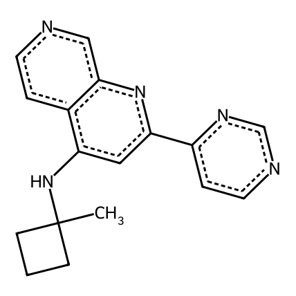 CC1(Nc2cc(-c3ccncn3)nc3cnccc23)CCC1